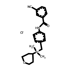 C[N+](C)(Cc1ccc(NC(=O)c2cccc(C#N)c2)cc1)C1CCOCC1.[Cl-]